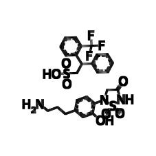 NCCCc1ccc(N2CC(=O)NS2(=O)=O)c(O)c1.O=S(=O)(O)CC(c1ccccc1)c1ccccc1C(F)(F)F